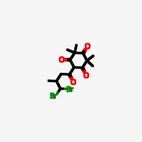 CC(CC(=O)C1C(=O)C(C)(C)C(=O)C(C)(C)C1=O)C(Br)Br